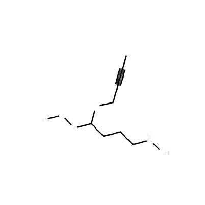 CC#CCOC(CCCNS)SSC(C)(C)C